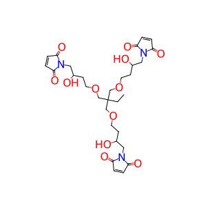 CCC(COCCC(O)CN1C(=O)C=CC1=O)(COCCC(O)CN1C(=O)C=CC1=O)COCCC(O)CN1C(=O)C=CC1=O